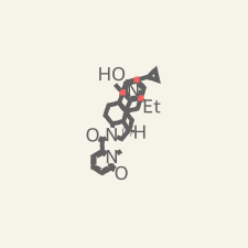 CCc1ccc(O)cc1C12CCN(CC3CC3)C(C)C13CCC1C2[C@@H](CN1C(=O)c1cccc(=O)n1C)C3